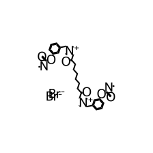 CN(C)C(=O)Oc1cccc(C[N+](C)(C)CC(=O)CCCCCCC(=O)C[N+](C)(C)Cc2cccc(OC(=O)N(C)C)c2)c1.[Br-].[Br-]